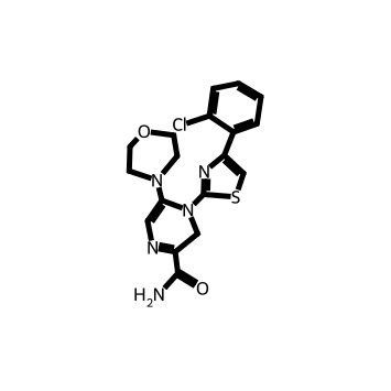 NC(=O)C1=NC=C(N2CCOCC2)N(c2nc(-c3ccccc3Cl)cs2)C1